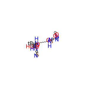 Cc1ncsc1-c1ccc(CNC(=O)[C@@H]2C[C@@H](O)CN2C(=O)[C@@H](NC(=O)CCCCCCCCCCC(=O)Nc2nc3ccc(-c4cnc5c(c4)N(C(=O)OC4CCCCC4)CCC5)cc3s2)C(C)(C)C)cc1